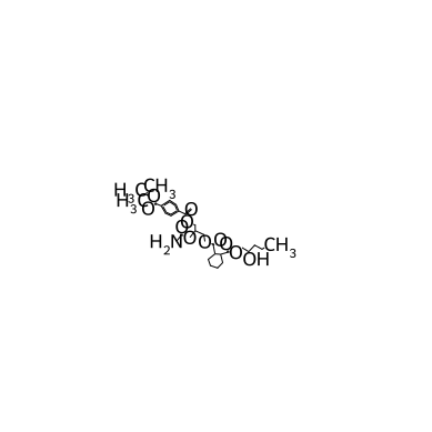 CCCC(O)COC(=O)C1CCCCC1C(=O)OCC(COC(=O)c1ccc(C(=O)OC(C)(C)C)cc1)OC(N)=O